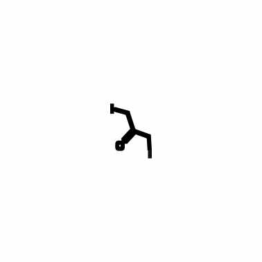 O=C(CI)CI